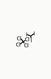 ClC(Cl)(Cl)Cl.IC(I)I